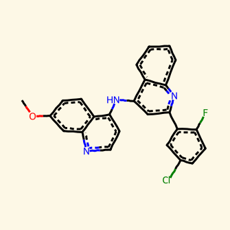 COc1ccc2c(Nc3cc(-c4cc(Cl)ccc4F)nc4ccccc34)ccnc2c1